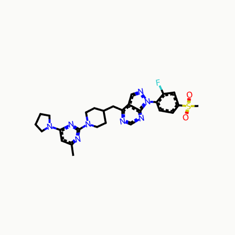 Cc1cc(N2CCCC2)nc(N2CCC(Cc3ncnc4c3cnn4-c3ccc(S(C)(=O)=O)cc3F)CC2)n1